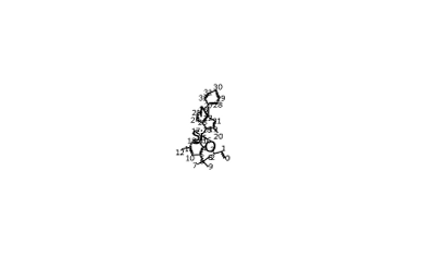 C=CCOc1c(C(C)(C)C)cc(C)cc1[Si](C)(C)C1C(C)=Cc2c1ccn2-c1ccccc1